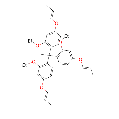 CC=COc1ccc(C(C)(c2ccc(OC=CC)cc2OCC)c2ccc(OC=CC)cc2OCC)c(OCC)c1